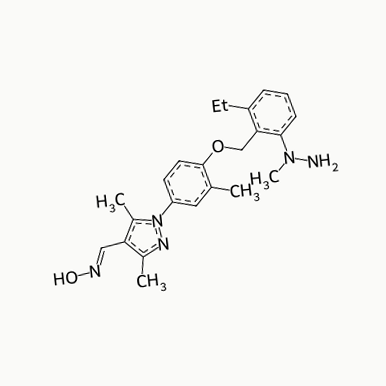 CCc1cccc(N(C)N)c1COc1ccc(-n2nc(C)c(/C=N/O)c2C)cc1C